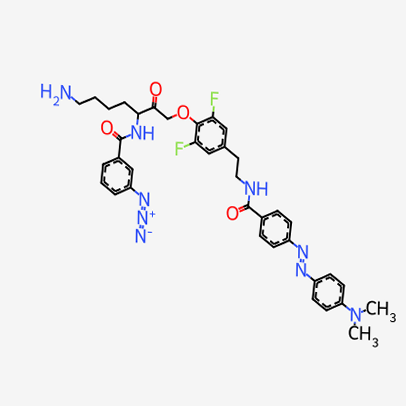 CN(C)c1ccc(/N=N/c2ccc(C(=O)NCCc3cc(F)c(OCC(=O)C(CCCCN)NC(=O)c4cccc(N=[N+]=[N-])c4)c(F)c3)cc2)cc1